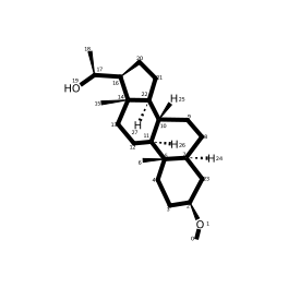 CO[C@H]1CC[C@@]2(C)[C@@H](CC[C@@H]3[C@@H]2CC[C@]2(C)[C@@H]([C@H](C)O)CC[C@@H]32)C1